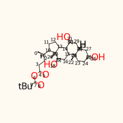 C[C@H](CCC(=O)OC(=O)C(C)(C)C)C1CCC2C3C(C[C@H](O)[C@@]21C)[C@@]1(C)CC[C@@H](O)C[C@H]1C[C@H]3O